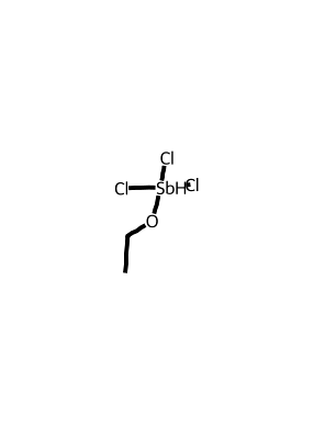 CC[O][SbH]([Cl])([Cl])[Cl]